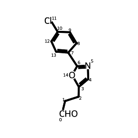 O=CCCc1cnc(-c2ccc(Cl)cc2)o1